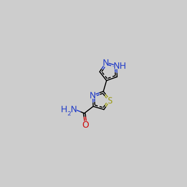 NC(=O)c1csc(-c2cn[nH]c2)n1